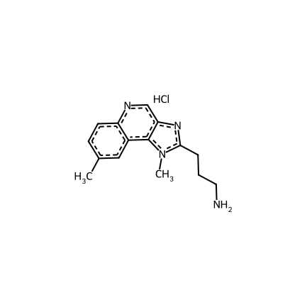 Cc1ccc2ncc3nc(CCCN)n(C)c3c2c1.Cl